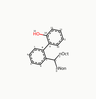 CCCCCCCCCC(CCCCCCCC)c1ccccc1-c1ccccc1O